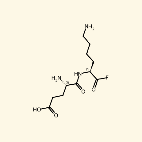 NCCCC[C@H](NC(=O)[C@@H](N)CCC(=O)O)C(=O)F